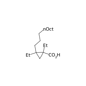 CCCCCCCCCCCC1(CC)CC1(CC)C(=O)O